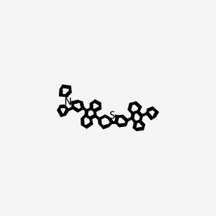 C1=Cc2c(sc3cc(-c4c5ccccc5c(-c5ccccc5)c5ccccc45)ccc23)CC(c2c3ccccc3c(-c3ccc4c(c3)c3ccccc3n4-c3ccccc3)c3ccccc23)=C1